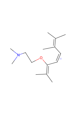 CC(C)=C(C)/C=C\C(OCCN(C)C)=C(C)C